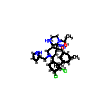 CC(=O)N1CCNCC1(N)C1(C(=O)c2cc(C)cc(C)c2)CCN(Cc2ccc[nH]2)C(c2ccc(Cl)c(Cl)c2)C1